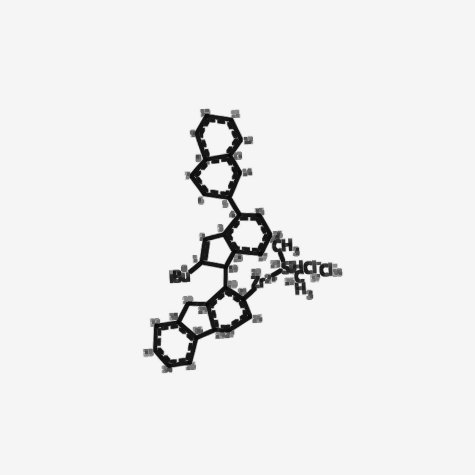 CCC(C)C1=Cc2c(-c3ccc4ccccc4c3)cccc2C1c1[c]([Zr+2][SiH](C)C)ccc2c1Cc1ccccc1-2.[Cl-].[Cl-]